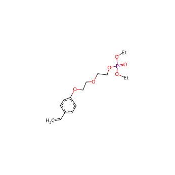 C=Cc1ccc(OCCOCCOP(=O)(OCC)OCC)cc1